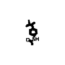 CC(=O)Nc1ccc(C(C)=C(C)C)cc1